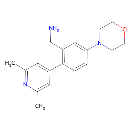 Cc1cc(-c2ccc(N3CCOCC3)cc2CN)cc(C)n1